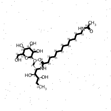 CC[C@@H](O)[C@@H](O)[C@H](CO[C@H]1OC(CO)[C@H](O)[C@H](O)C1O)NC(=O)CCCCCCCCCCCNC(C)=O